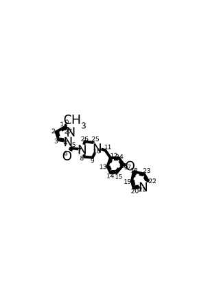 Cc1ccn(C(=O)N2CCN(Cc3cccc(Oc4ccncc4)c3)CC2)n1